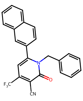 N#Cc1c(C(F)(F)F)cc(-c2ccc3ccccc3c2)n(Cc2ccccc2)c1=O